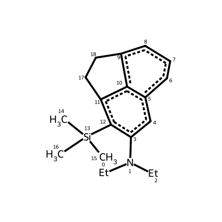 CCN(CC)c1cc2cccc3c2c(c1[Si](C)(C)C)CC3